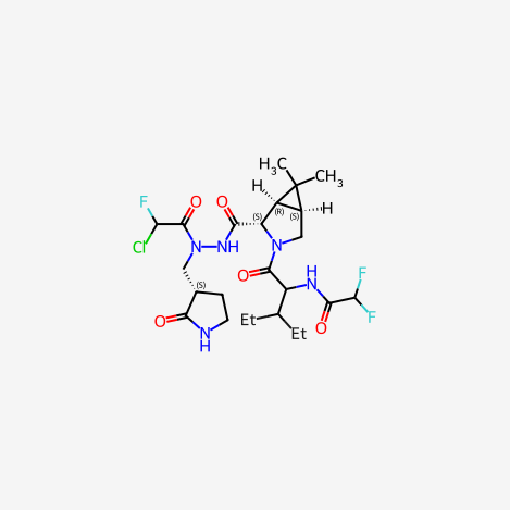 CCC(CC)C(NC(=O)C(F)F)C(=O)N1C[C@H]2[C@@H]([C@H]1C(=O)NN(C[C@@H]1CCNC1=O)C(=O)C(F)Cl)C2(C)C